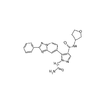 Cn1ncc(C(=O)NC2CCOC2)c1-c1ccn2nc(-c3ccccc3)nc2c1.NC=O